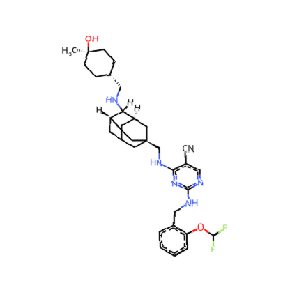 C[C@]1(O)CC[C@H](CN[C@@H]2[C@@H]3CC4C[C@H]2C[C@@](CNc2nc(NCc5ccccc5OC(F)F)ncc2C#N)(C4)C3)CC1